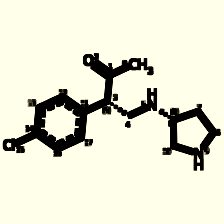 CC(=O)[C@H](CN[C@@H]1CCNC1)c1ccc(Cl)cc1